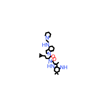 Cc1c(C(=O)N(C)C(CCC2CC2)C(=O)N2CCC3C2=CCCC3NCCN2CCCCC2)[nH]c2c1C(=N)CC(C)(C)C2